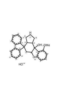 COc1ccccc1C1(O)C(O)CC(c2ccccc2)(c2ccccc2)C2CNCC21.Cl